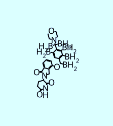 Bc1cc(C(B)Oc2cccc3c2CN(C2CCC(=O)NC2=O)C3=O)c(B)c(B)c1C(B)(B)N1CCOCC1